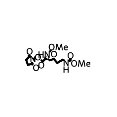 COC(=O)NCCCC[C@H](NC(=O)OC)C(=O)ON1C(=O)CCC1=O